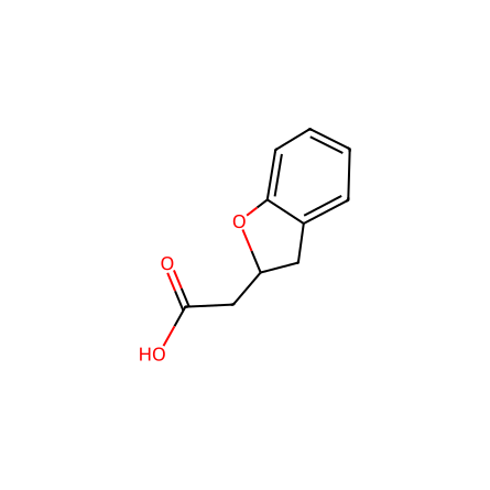 O=C(O)CC1Cc2ccccc2O1